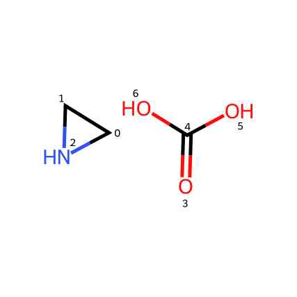 C1CN1.O=C(O)O